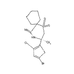 C[C@@]1(c2sc(Br)cc2Cl)CS(=O)(=O)C2(CCCCC2)C(=N)N1